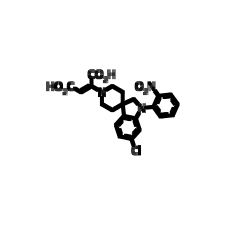 O=C(O)C=C(C(=O)O)N1CCC2(CC1)CN(c1ccccc1[N+](=O)[O-])c1cc(Cl)ccc12